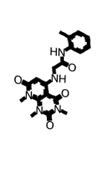 Cc1ccccc1NC(=O)CNc1cc(=O)n(C)c2c1c(=O)n(C)c(=O)n2C